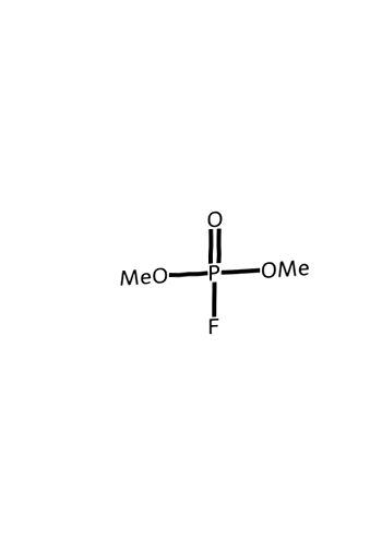 COP(=O)(F)OC